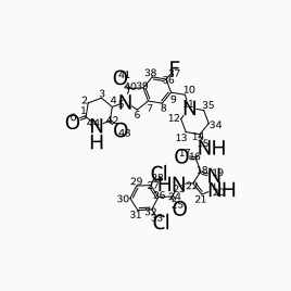 O=C1CCC(N2Cc3cc(CN4CCC(NC(=O)c5n[nH]cc5NC(=O)c5c(Cl)cccc5Cl)CC4)c(F)cc3C2=O)C(=O)N1